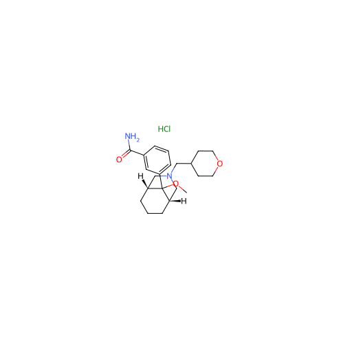 COC1(c2cccc(C(N)=O)c2)[C@@H]2CCC[C@H]1CN(CC1CCOCC1)C2.Cl